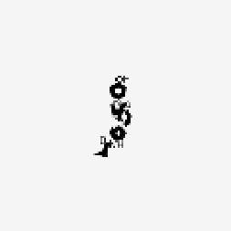 O=C(Nc1ccc(N2CCC[C@]3(CCN([C@H]4CC[C@H](O)CC4)C3=O)C2)nc1)C1CC1